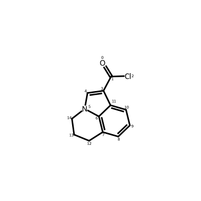 O=C(Cl)c1cn2c3c(cccc13)CCC2